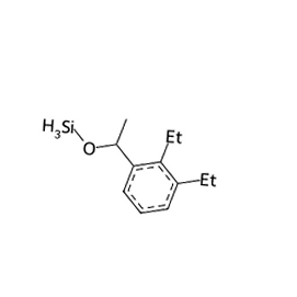 CCc1cccc(C(C)O[SiH3])c1CC